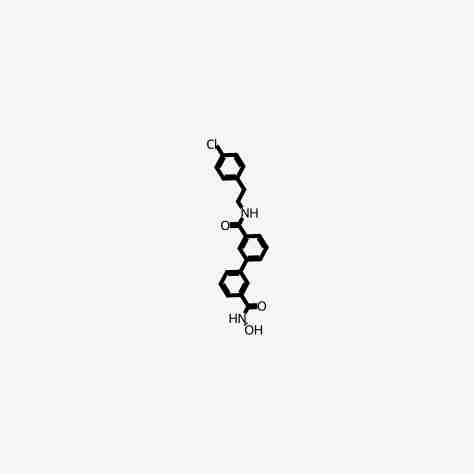 O=C(NO)c1cccc(-c2cccc(C(=O)NCCc3ccc(Cl)cc3)c2)c1